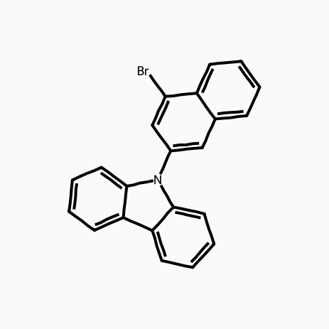 Brc1cc(-n2c3ccccc3c3ccccc32)cc2ccccc12